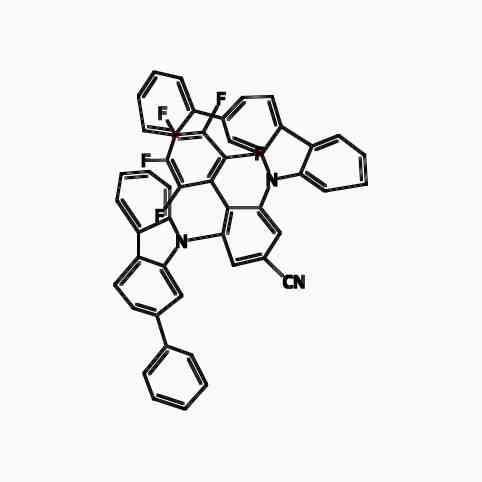 N#Cc1cc(-n2c3ccccc3c3ccc(-c4ccccc4)cc32)c(-c2c(F)c(F)c(F)c(F)c2F)c(-n2c3ccccc3c3ccc(-c4ccccc4)cc32)c1